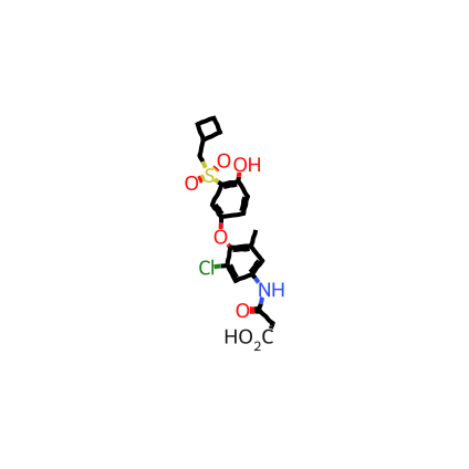 Cc1cc(NC(=O)CC(=O)O)cc(Cl)c1Oc1ccc(O)c(S(=O)(=O)CC2CCC2)c1